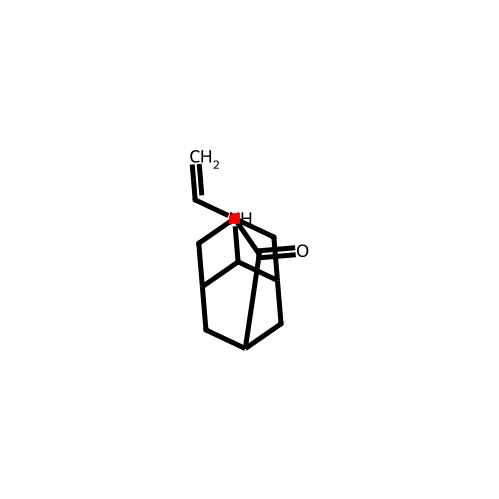 C=CNC1C2CC3CC1CC(C2)C3=O